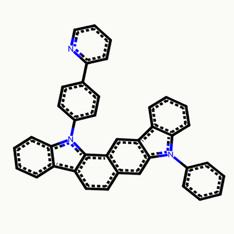 c1ccc(-n2c3ccccc3c3cc4c(ccc5c6ccccc6n(-c6ccc(-c7ccccn7)cc6)c45)cc32)cc1